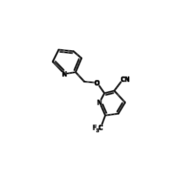 N#Cc1ccc(C(F)(F)F)nc1OCc1ccccn1